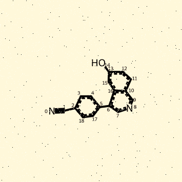 N#Cc1ccc(-c2cncc3ccc(O)cc23)cc1